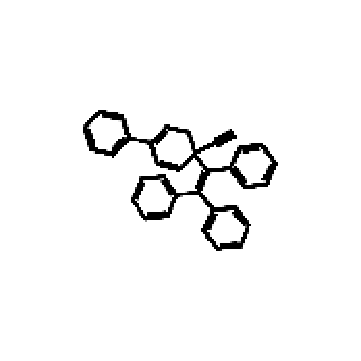 C#CC1(C(=C(c2ccccc2)c2ccccc2)c2ccccc2)C=CC(c2ccccc2)=CC1